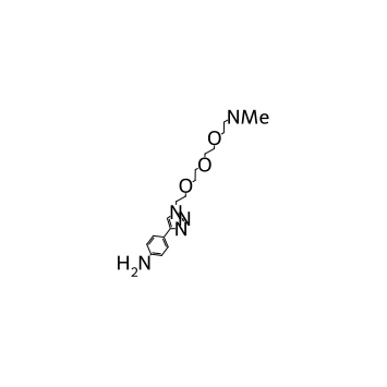 CNCCOCCOCCOCCn1cc(-c2ccc(N)cc2)nn1